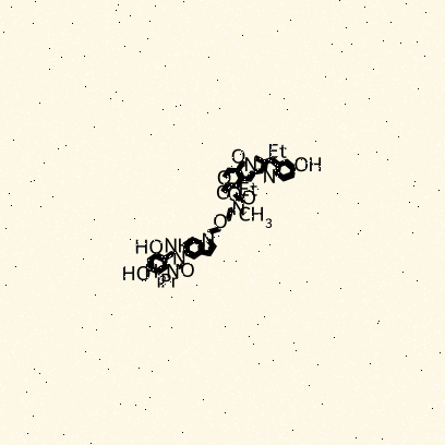 CCc1c2c(nc3ccc(O)cc13)-c1cc3c(c(=O)n1C2)COC(=O)C3(CC)OC(=O)N(C)CCOCCn1ccc2cc(N(C(=N)c3cc(C(C)C)c(O)cc3O)C(N)=O)ccc21